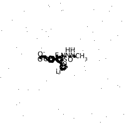 CCNC(=O)Nc1nc2c(F)c(-c3ccc(OCC(=O)[O-])cc3)cc(-c3ccccn3)c2s1.[Li+]